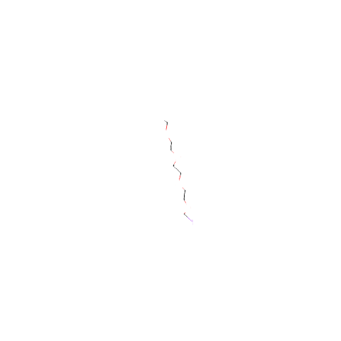 CCOCCOCCOCCOCI